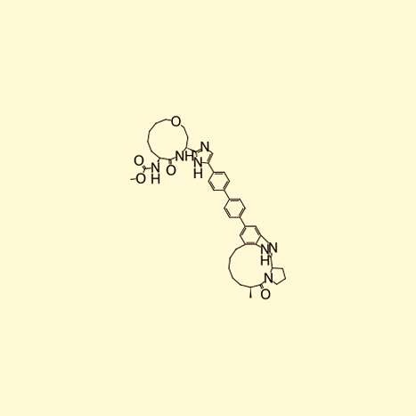 COC(=O)N[C@H]1CCCCCOCC[C@@H](c2ncc(-c3ccc(-c4ccc(-c5cc6c7[nH]c(nc7c5)C5CCCN5C(=O)[C@@H](C)CCCCC6)cc4)cc3)[nH]2)NC1=O